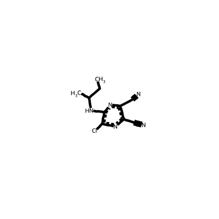 CCC(C)Nc1nc(C#N)c(C#N)nc1Cl